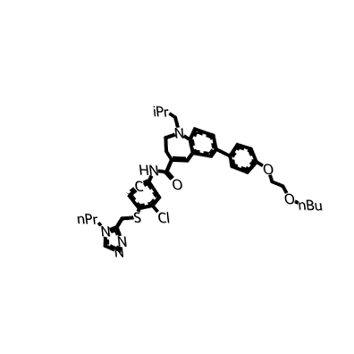 CCCCOCCOc1ccc(-c2ccc3c(c2)C=C(C(=O)Nc2ccc(SCc4nncn4CCC)c(Cl)c2)CCN3CC(C)C)cc1